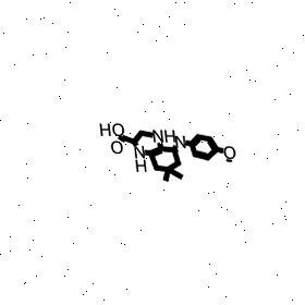 COc1ccc(/N=C2\CC(C)(C)CC3=C2NCC(C(=O)O)N3)cc1